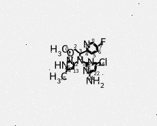 COCC(c1ccc(F)cn1)N(c1cc(C)[nH]n1)c1nc(N)cc(Cl)n1